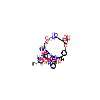 CC[C@H](C)[C@H]1NC(=O)[C@@H](NC(=O)[C@H](C)[C@H](O)C(C)C)[C@@H](C)OC(=O)[C@@H]2COC(=O)CNC(=O)/C=C/[C@](O)(CO)[C@@H](C)Oc3ccc(cc3)[C@H](NC1=O)C(=O)N(C)[C@@H](Cc1ccccc1)C(=O)N[C@H]([C@@H](C)O)C(=O)N2